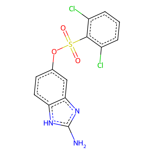 Nc1nc2cc(OS(=O)(=O)c3c(Cl)cccc3Cl)ccc2[nH]1